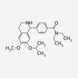 CCN(CC)C(=O)c1ccc(C2NCCc3cc(OC)c(OC(C)C)cc32)cc1